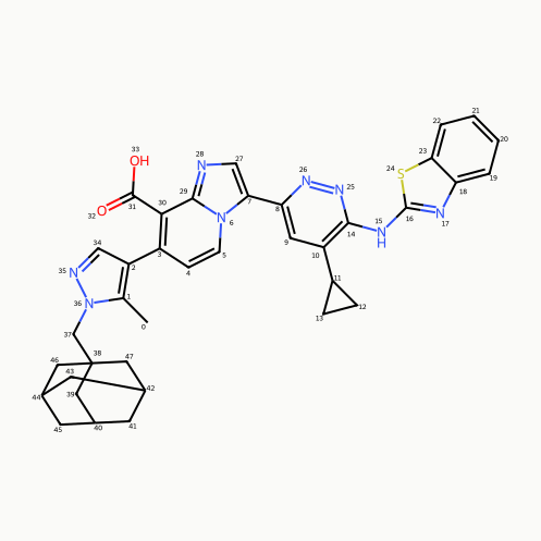 Cc1c(-c2ccn3c(-c4cc(C5CC5)c(Nc5nc6ccccc6s5)nn4)cnc3c2C(=O)O)cnn1CC12CC3CC(CC(C3)C1)C2